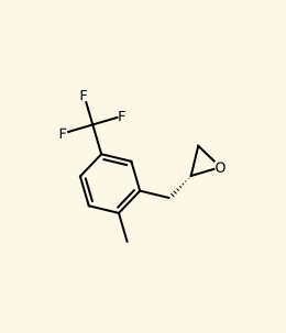 Cc1ccc(C(F)(F)F)cc1C[C@@H]1CO1